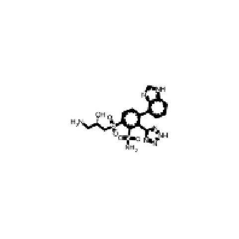 NC[C@H](O)CS(=O)(=O)c1ccc(-c2cccc3[nH]cnc23)c(-c2nn[nH]n2)c1S(N)(=O)=O